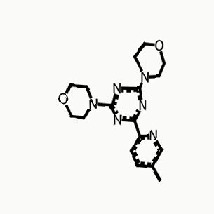 Cc1ccc(-c2nc(N3CCOCC3)nc(N3CCOCC3)n2)nc1